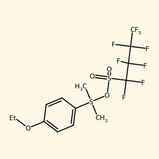 CCOc1ccc(S(C)(C)OS(=O)(=O)C(F)(F)C(F)(F)C(F)(F)C(F)(F)F)cc1